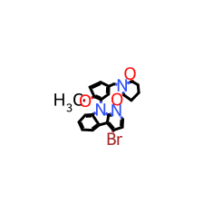 COc1ccc(CN2C(=O)CCCC2=O)cc1-n1c2ccccc2c2c(Br)ccnc21